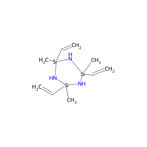 C=C[Si]1(C)N[Si](C)(C=C)N[Si](C)(C=C)N1